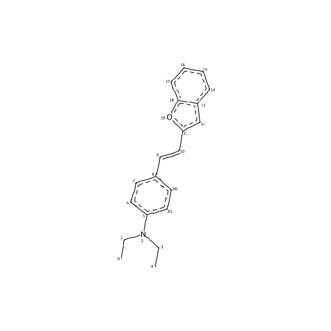 CCN(CC)c1ccc(C=Cc2cc3ccccc3o2)cc1